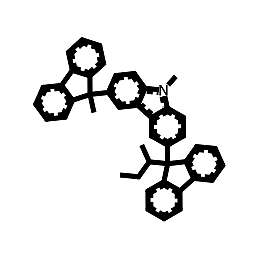 CCC(C)C1(c2ccc3c(c2)c2cc(C4(C)c5ccccc5-c5ccccc54)ccc2n3C)c2ccccc2-c2ccccc21